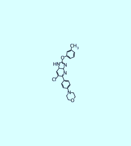 Cc1cccc(OC2=NC3N=C(c4ccc(N5CCOCC5)cc4)C(Cl)=CC3N2)c1